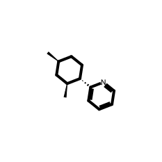 C[C@H]1CC[C@H](c2ccccn2)[C@@H](C)C1